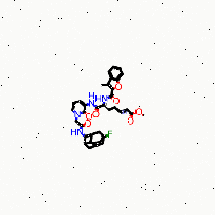 COC(=O)/C=C/CC[C@H](NC(=O)c1oc2ccccc2c1C)C(=O)Nc1cccn(CC(=O)NC2C3CC4CC2CC(F)(C4)C3)c1=O